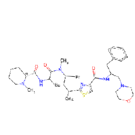 CCC(C)C(NC(=O)[C@H]1CCCCN1C)C(=O)N(C)C(CC(OC(C)=O)c1nc(C(=O)NC(Cc2ccccc2)CN2CCOCC2)cs1)C(C)C